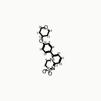 O=S1(=O)CCN2C(c3ccc(OC4CCOCC4)cc3)=CC=CC2=N1